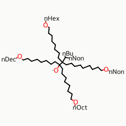 CCCCCCCCCCOCCCCCCCCC([O])(CCCCCCCCOCCCCCCCC)C(CCCCCCCCCOCCCCCCCCC)(CCCCCCCCOCCCCCC)C(CCCC)CCCCCCCCC